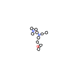 c1ccc(-c2ccc(N(c3ccc(-c4cccc(-c5cccc6c5oc5ccccc56)c4)cc3)c3cccc(-c4ccccc4-n4c5ccccc5c5ccccc54)c3)cc2)cc1